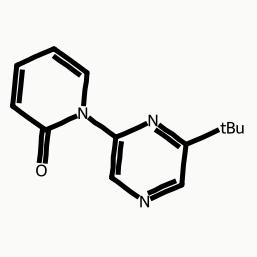 CC(C)(C)c1cncc(-n2ccccc2=O)n1